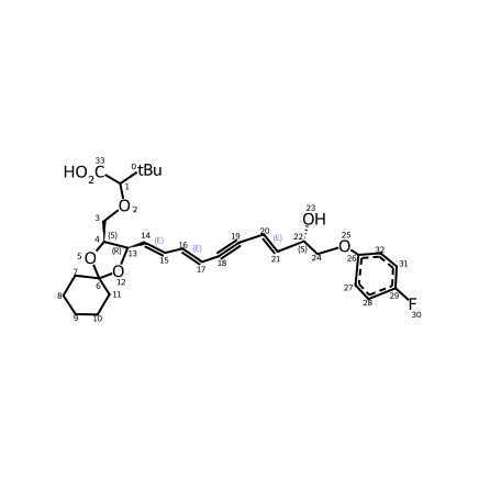 CC(C)(C)C(OC[C@@H]1OC2(CCCCC2)O[C@@H]1/C=C/C=C/C#C/C=C/[C@H](O)COc1ccc(F)cc1)C(=O)O